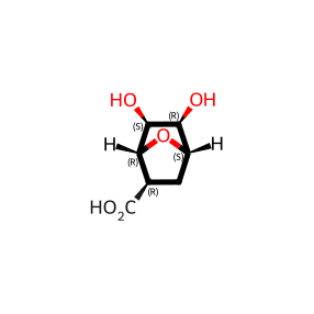 O=C(O)[C@@H]1C[C@@H]2O[C@H]1[C@@H](O)[C@H]2O